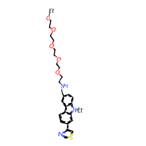 CCOCCOCCOCCOCCOCCNCc1ccc2c(c1)c1ccc(-c3cscn3)cc1n2CC